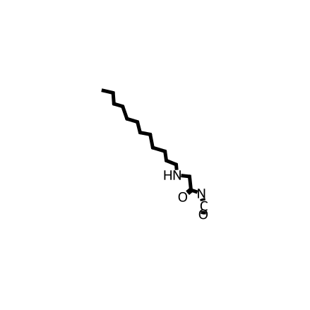 CCCCCCCCCCCCNCC(=O)N=C=O